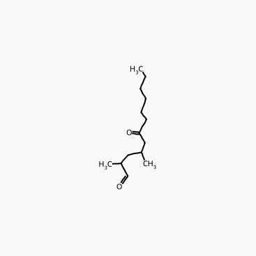 CCCCCCC(=O)CC(C)CC(C)C=O